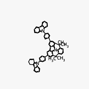 CC1(C)c2cccc3c2-n2c4c1cc(-c1ccc(-n5c6c(c7ccccc75)CCC=C6)cc1)cc4c1cc(-c4ccc(-n5c6ccccc6c6ccccc65)cc4)cc(c12)C3(C)C